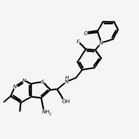 Cc1nnc2sc(C(O)NCc3ccc(-n4ccccc4=O)c(F)c3)c(N)c2c1C